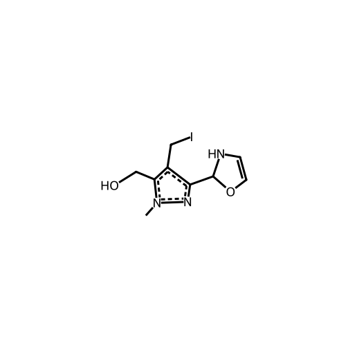 Cn1nc(C2NC=CO2)c(CI)c1CO